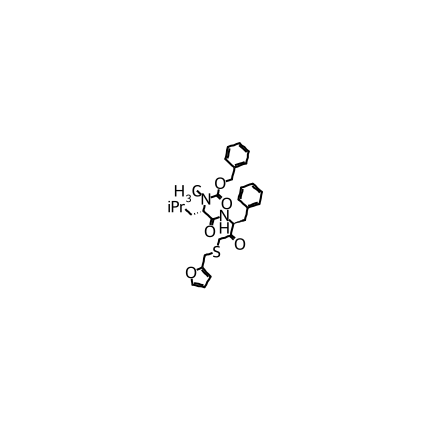 CC(C)C[C@@H](C(=O)N[C@@H](Cc1ccccc1)C(=O)CSCc1ccco1)N(C)C(=O)OCc1ccccc1